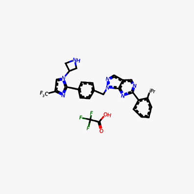 CC(C)c1ccccc1-c1ncc2cnn(Cc3ccc(-c4nc(C(F)(F)F)cn4C4CNC4)cc3)c2n1.O=C(O)C(F)(F)F